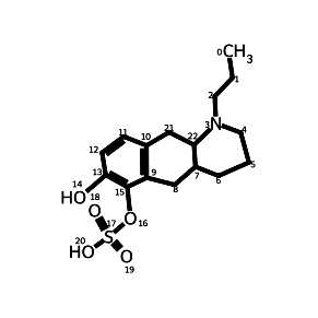 CCCN1CCCC2Cc3c(ccc(O)c3OS(=O)(=O)O)CC21